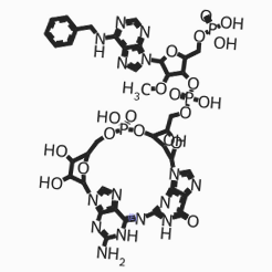 COC1C(OP(=O)(O)OCC2OC3C(O)C2OP(=O)(O)OCC2OC(C(O)C2O)n2cnc4c2N=C(N)N/C4=N/c2nc4c(ncn43)c(=O)[nH]2)C(COP(=O)(O)O)OC1n1cnc2c(NCc3ccccc3)ncnc21